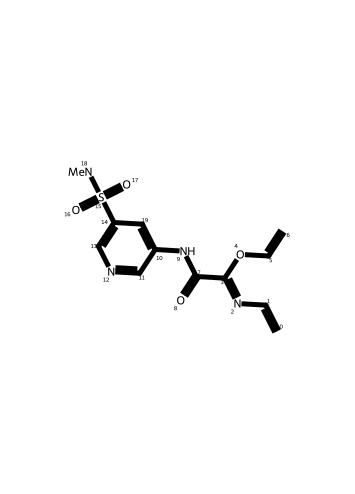 C=C/N=C(\OC=C)C(=O)Nc1cncc(S(=O)(=O)NC)c1